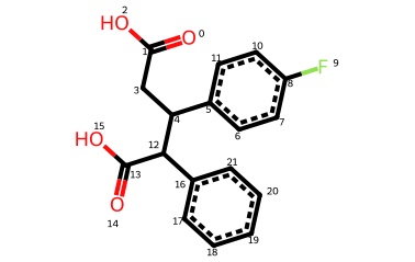 O=C(O)CC(c1ccc(F)cc1)C(C(=O)O)c1ccccc1